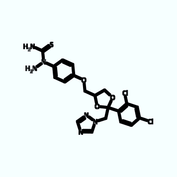 NC(=S)N(N)c1ccc(OCC2COC(Cn3cncn3)(c3ccc(Cl)cc3Cl)O2)cc1